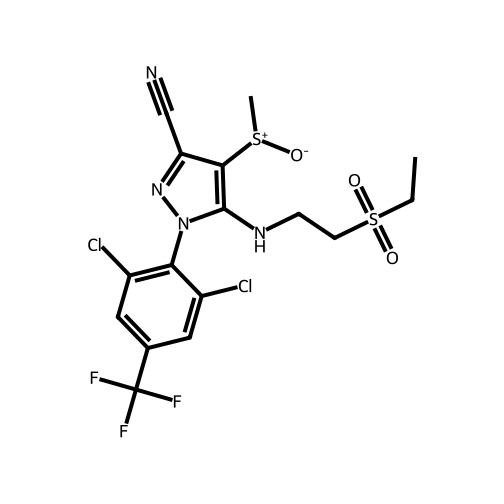 CCS(=O)(=O)CCNc1c([S+](C)[O-])c(C#N)nn1-c1c(Cl)cc(C(F)(F)F)cc1Cl